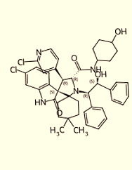 CC1(C)CCC2(CC1)N([C@H](c1ccccc1)[C@@H](O)c1ccccc1)[C@@H](C(=O)NC1CCC(O)CC1)[C@H](c1ccnc(Cl)c1)[C@@]21C(=O)Nc2cc(Cl)ccc21